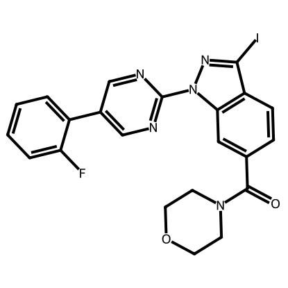 O=C(c1ccc2c(I)nn(-c3ncc(-c4ccccc4F)cn3)c2c1)N1CCOCC1